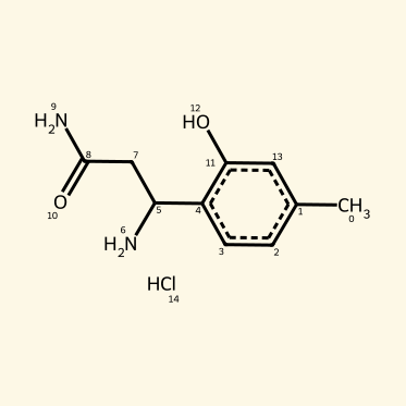 Cc1ccc(C(N)CC(N)=O)c(O)c1.Cl